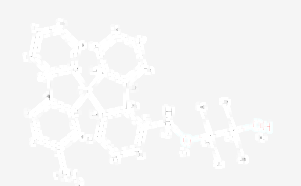 Bc1ccc2c(c1)C1(c3ccccc3-2)c2ccccc2-c2c(BOC(C)(C)C(C)(C)O)cccc21